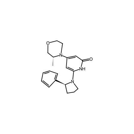 C[C@@H]1COCCN1c1cc(N2CCC[C@H]2c2ccccc2)[nH]c(=O)c1